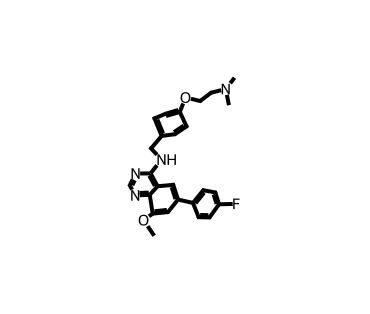 COc1cc(-c2ccc(F)cc2)cc2c(NCc3ccc(OCCN(C)C)cc3)ncnc12